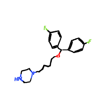 Fc1ccc(C(OCCCCN2CCNCC2)c2ccc(F)cc2)cc1